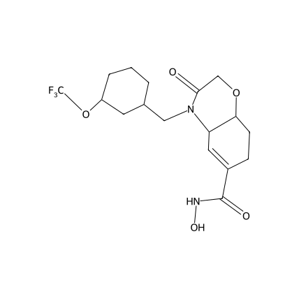 O=C(NO)C1=CC2C(CC1)OCC(=O)N2CC1CCCC(OC(F)(F)F)C1